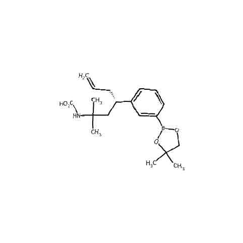 C=CC[C@@H](CC(C)(C)NC(=O)O)c1cccc(B2OCC(C)(C)O2)c1